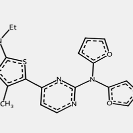 CCNc1nc(C)c(-c2ccnc(N(c3ccco3)c3ccco3)n2)s1